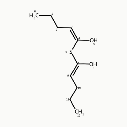 CCCC=C(O)SC(O)=CCCC